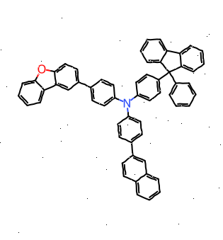 c1ccc(C2(c3ccc(N(c4ccc(-c5ccc6ccccc6c5)cc4)c4ccc(-c5ccc6oc7ccccc7c6c5)cc4)cc3)c3ccccc3-c3ccccc32)cc1